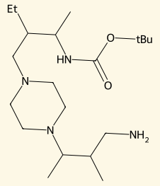 CCC(CN1CCN(C(C)C(C)CN)CC1)C(C)NC(=O)OC(C)(C)C